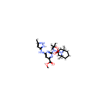 COC(=O)c1cc(Nc2cc(C)[nH]n2)nc(N(C)[C@@H]2C[C@H]3CCC[C@@H](C2)N3C(=O)OC(C)(C)C)n1